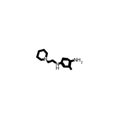 Cc1cc(NCCN2CCCCC2)ccc1N